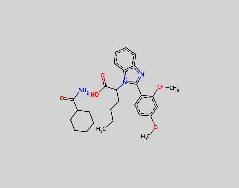 CCCCC(C(=O)O)n1c(-c2ccc(OC)cc2OC)nc2ccccc21.NC(=O)C1CCCCC1